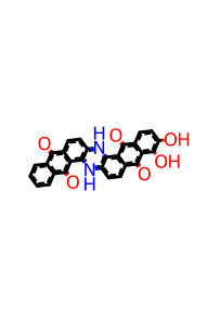 O=c1c2ccccc2c(=O)c2c1ccc1[nH]c3c(ccc4c(=O)c5c(O)c(O)ccc5c(=O)c43)[nH]c12